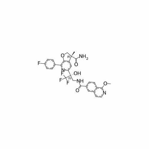 COc1nccc2cc(C(=O)NC[C@](O)(c3cc4c(c(-c5ccc(F)cc5)n3)OC[C@]4(C)C(N)=O)C(F)(F)F)ccc12